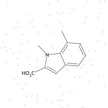 Cc1cccc2cc(C(=O)O)n(C)c12